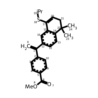 C=C(c1ccc(C(=O)OC)cc1)c1ccc2c(c1)C(SC(C)C)=CCC2(C)C